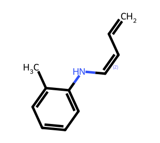 C=C/C=C\Nc1ccccc1C